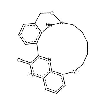 O=c1[nH]c2cccc3c2nc1-c1cccc2c1NN(CCCCCN3)OC2